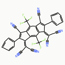 N#CC(C#N)=C1C(c2ccccc2)=C(C#N)c2c1c(C(F)(F)F)c1c(c2C(F)(F)F)C(C#N)=C(c2ccccc2)C1=C(C#N)C#N